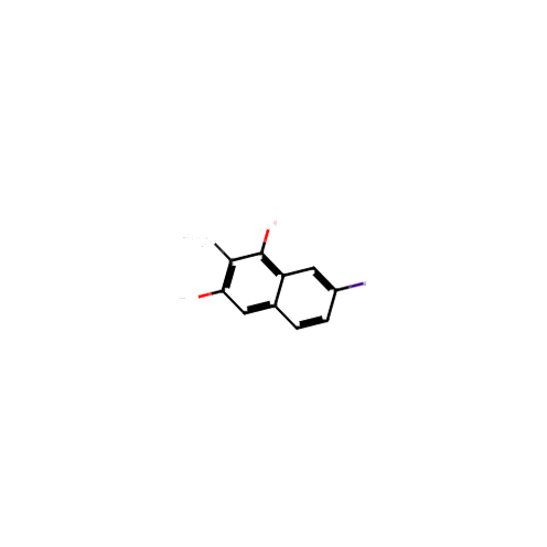 O=C(O)c1c(O)cc2ccc(I)cc2c1O